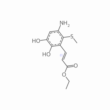 CCOC(=O)/C=C/c1c(O)c(O)cc(N)c1SC